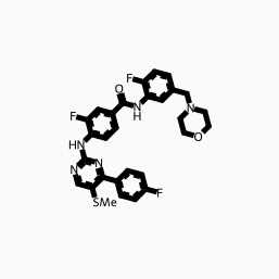 CSc1cnc(Nc2ccc(C(=O)Nc3cc(CN4CCOCC4)ccc3F)cc2F)nc1-c1ccc(F)cc1